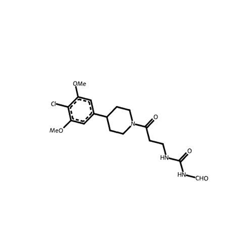 COc1cc(C2CCN(C(=O)CCNC(=O)NC=O)CC2)cc(OC)c1Cl